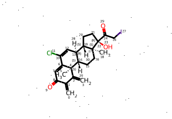 C=C1C(=C)[C@@]2(C)C(=CC1=O)C(Cl)=C[C@@H]1[C@@H]2CC[C@@]2(C)[C@H]1CC[C@]2(O)C(=O)CI